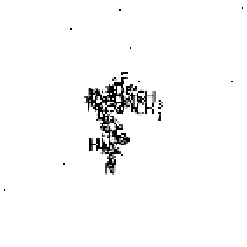 CCN(C(=O)c1cc(F)ccc1Oc1cncnc1N1CC2(CCN(C(=O)[C@@H]3C[C@@H](C#N)CN3)CC2)C1)C(C)C